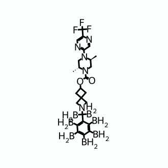 Bc1c(B)c(B)c(C(B)(B)N2CC3(CC(OC(=O)N4C[C@H](C)N(c5cnc(C(F)(F)F)cn5)C[C@H]4C)C3)C2)c(B)c1B